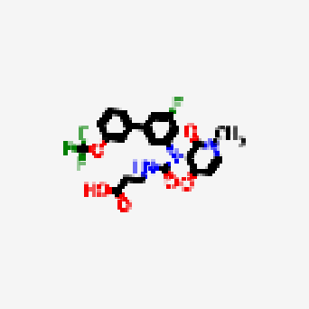 CN1C=CC(=O)[C@H](N(C(=O)NCCC(=O)O)c2cc(F)cc(-c3cccc(OC(F)(F)F)c3)c2)C1=O